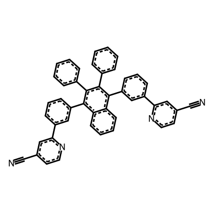 N#Cc1ccnc(-c2cccc(-c3c(-c4ccccc4)c(-c4ccccc4)c(-c4cccc(-c5cc(C#N)ccn5)c4)c4ccccc34)c2)c1